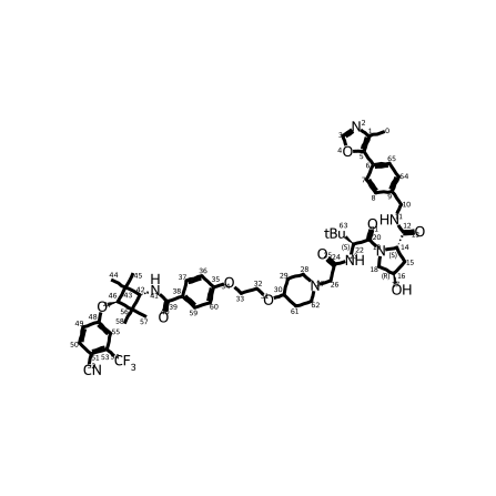 Cc1ncoc1-c1ccc(CNC(=O)[C@@H]2C[C@@H](O)CN2C(=O)[C@@H](NC(=O)CN2CCC(OCCOc3ccc(C(=O)N[C@H]4C(C)(C)[C@H](Oc5ccc(C#N)c(C(F)(F)F)c5)C4(C)C)cc3)CC2)C(C)(C)C)cc1